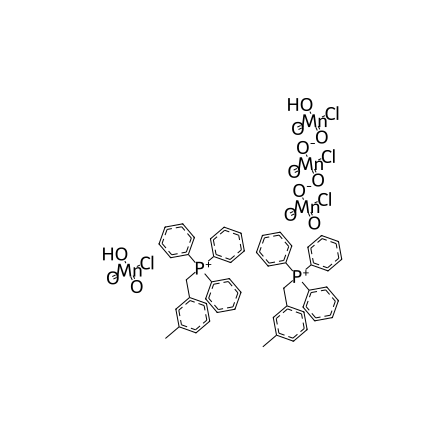 Cc1cccc(C[P+](c2ccccc2)(c2ccccc2)c2ccccc2)c1.Cc1cccc(C[P+](c2ccccc2)(c2ccccc2)c2ccccc2)c1.[O]=[Mn](=[O])([O-])[Cl].[O]=[Mn](=[O])([O-])[Cl].[O]=[Mn](=[O])([OH])[Cl].[O]=[Mn](=[O])([OH])[Cl]